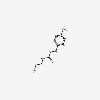 CC(=O)CCNC(=O)COc1ccc(C)cc1